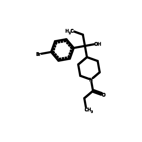 CCC(=O)N1CCC(C(O)(CC)c2ccc(Br)cc2)CC1